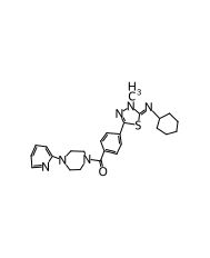 Cn1nc(-c2ccc(C(=O)N3CCN(c4ccccn4)CC3)cc2)sc1=NC1CCCCC1